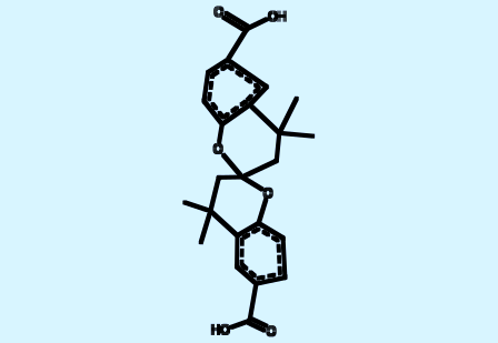 CC1(C)CC2(CC(C)(C)c3cc(C(=O)O)ccc3O2)Oc2ccc(C(=O)O)cc21